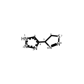 c1[nH]nnc1C1CSN=N1